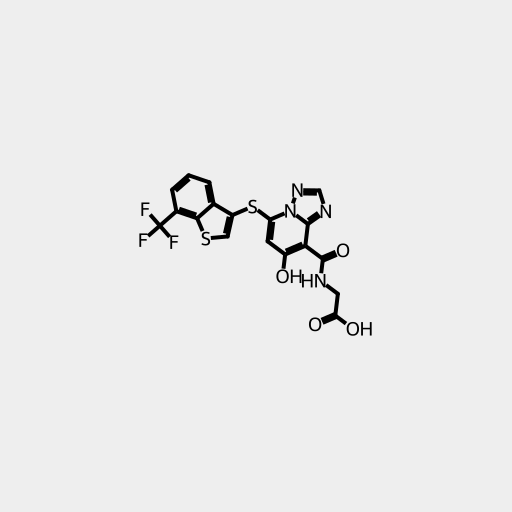 O=C(O)CNC(=O)c1c(O)cc(Sc2csc3c(C(F)(F)F)cccc23)n2ncnc12